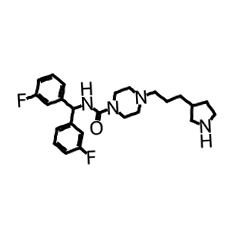 O=C(NC(c1cccc(F)c1)c1cccc(F)c1)N1CCN(CCCC2CCNC2)CC1